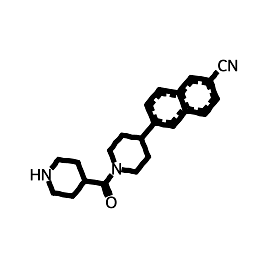 N#Cc1ccc2cc(C3CCN(C(=O)C4CCNCC4)CC3)ccc2c1